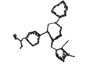 Cc1c(CN2CCN(c3cnccn3)CC2c2ccc(C(C)C#N)cc2)cnn1C